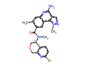 Cc1cc2nc(N)c3cnn(C)c3c2cc1C(=O)N(C)[C@@H]1COCc2nc(Br)ccc21